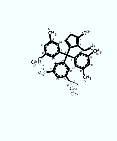 CCC1=[C]([Ti+3])CC=C1C(c1cc(C)cc(C)c1)(c1cc(C)cc(C)c1)c1cc(C)cc(C)c1.[Cl-].[Cl-].[Cl-]